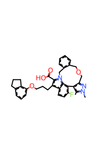 Cc1c2c(nn1C)COCc1ccccc1Cn1c(C(=O)O)c(CCCOc3cccc4c3CCC4)c3ccc(F)c-2c31